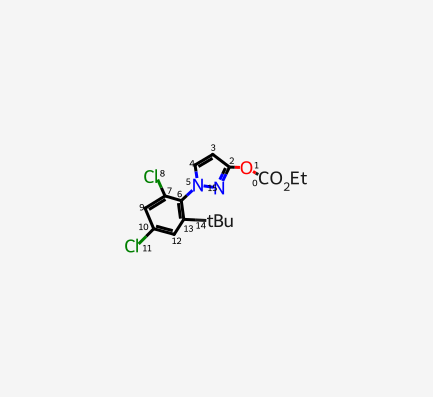 CCOC(=O)Oc1ccn(-c2c(Cl)cc(Cl)cc2C(C)(C)C)n1